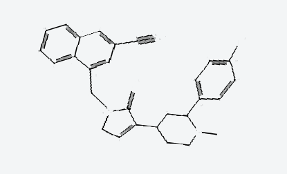 CN1CCC(C2=CCN(Cc3cc(C#N)cc4ccccc34)C2=O)CC1c1ccc(F)cc1